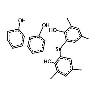 Cc1cc(C)c(O)c([Se]c2cc(C)cc(C)c2O)c1.Oc1ccccc1.Oc1ccccc1